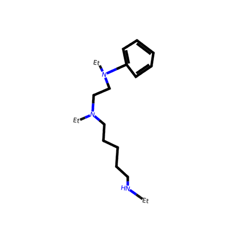 CCNCCCCCN(CC)CCN(CC)c1ccccc1